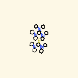 c1ccc(N(c2ccccc2)c2cc(Sc3cccc(N(c4ccccc4)c4cc(N(c5ccccc5)c5ccccc5)cc(N(C5CCCCC5)C5CCCCC5)c4)c3)cc(N(C3CCCCC3)C3CCCCC3)c2)cc1